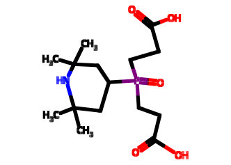 CC1(C)CC(P(=O)(CCC(=O)O)CCC(=O)O)CC(C)(C)N1